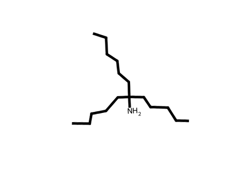 CCCCCCC(N)(CCCCC)CCCCC